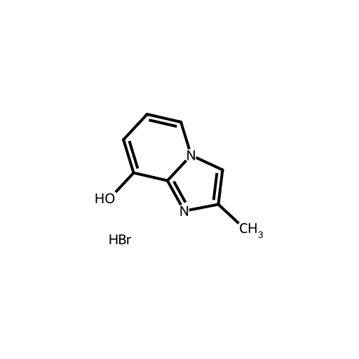 Br.Cc1cn2cccc(O)c2n1